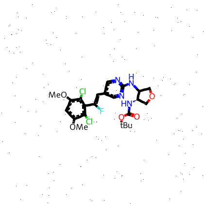 COc1cc(OC)c(Cl)c(/C(F)=C/c2cnc(NC3COC[C@@H]3NC(=O)OC(C)(C)C)nc2)c1Cl